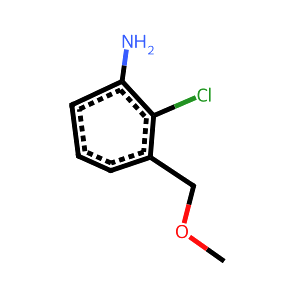 COCc1cccc(N)c1Cl